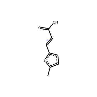 Cc1ccc(/C=C/C(=O)O)s1